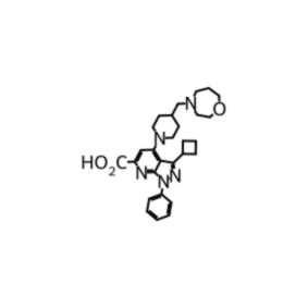 O=C(O)c1cc(N2CCC(CN3CCCOCC3)CC2)c2c(C3CCC3)nn(-c3ccccc3)c2n1